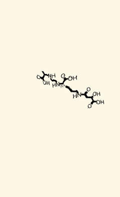 CC(NCCN[C@@H](CCCCNC(=O)CC(O)C(=O)O)C(=O)O)C(=O)O